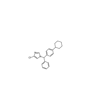 Clc1cn(C(c2ccccc2)c2ccc(C3CCCCC3)cc2)cn1